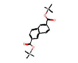 C[Si](C)(C)OC(=O)c1ccc2cc(C(=O)O[Si](C)(C)C)ccc2c1